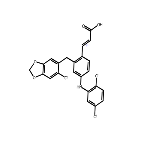 O=C(O)/C=C/c1ccc(Nc2cc(Cl)ccc2Cl)cc1Cc1cc2c(cc1Cl)OCO2